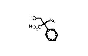 CCCCC(CO)(C(=O)O)c1ccccc1